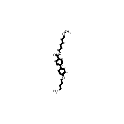 CCCCCOc1ccc(-c2ccc(C(=O)OCCCCCCOC)cc2)cc1